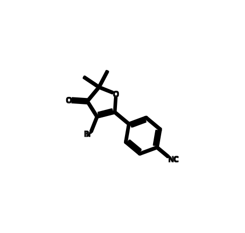 [C-]#[N+]c1ccc(C2=C(Br)C(=O)C(C)(C)O2)cc1